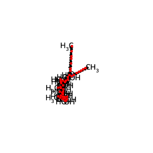 CCCCCCCCCCCCC/C=C/[C@@H](O)[C@H](CO[C@@H]1OC(CO)[C@@H](O[C@@H]2OC(CO)[C@H](O)[C@H](O[C@@H]3OC(CO)[C@@H](O)[C@H](O[C@@H]4OC(CO)[C@H](O)[C@H](O[C@@H]5OC(CO)[C@@H](O[C@@H]6OC(CO)[C@H](O)[C@H](O)C6O)[C@H](O)C5NC(C)=O)C4O)C3NC(C)=O)C2O)[C@H](O)C1O)NC(=O)CCCCCCCCCCCCCCCCCCCCCCC